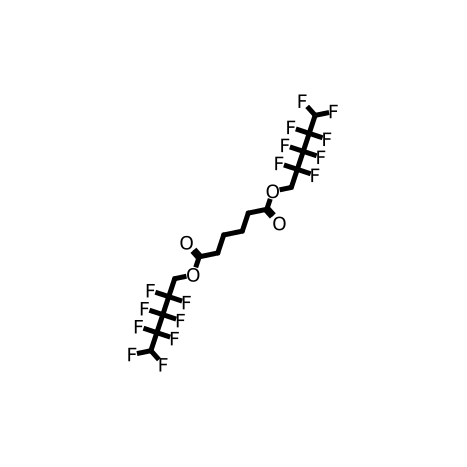 O=C(CCCCC(=O)OCC(F)(F)C(F)(F)C(F)(F)C(F)F)OCC(F)(F)C(F)(F)C(F)(F)C(F)F